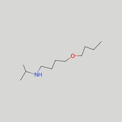 CCCCOCCCCNC(C)C